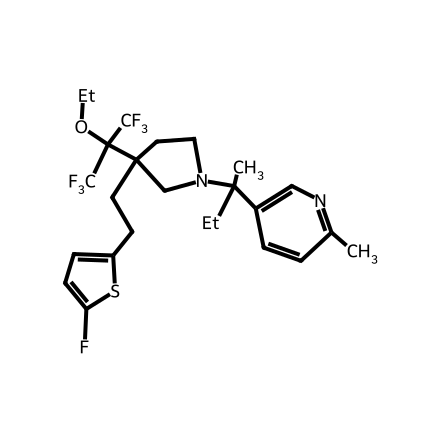 CCOC(C(F)(F)F)(C(F)(F)F)C1(CCc2ccc(F)s2)CCN(C(C)(CC)c2ccc(C)nc2)C1